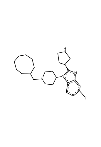 Fc1ccc2c(c1)nc([C@H]1CCNC1)n2C1CCN(CC2CCCCCCC2)CC1